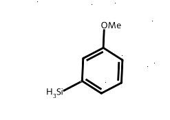 COc1cccc([SiH3])c1